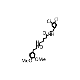 COc1ccc(CCNC(=O)CCCCC(=O)NCCc2ccc(Cl)c(Cl)c2)cc1OC